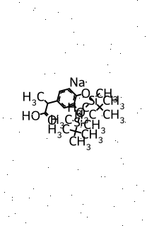 CC(C(=O)O)c1ccc(O[Si](C)(C)C(C)(C)C)c(O[Si](C)(C)C(C)(C)C)c1.[Na]